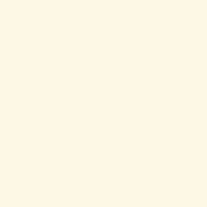 CCCC1CCCCC[C]1CC